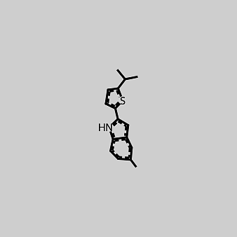 Cc1ccc2[nH]c(-c3ccc(C(C)C)s3)cc2c1